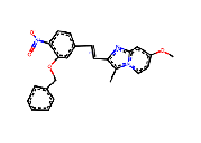 COc1ccn2c(C)c(/C=C/c3ccc([N+](=O)[O-])c(OCc4ccccc4)c3)nc2c1